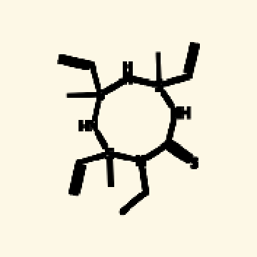 C=CS1(C)NC(=S)N(CC)S(C)(C=C)NS(C)(C=C)N1